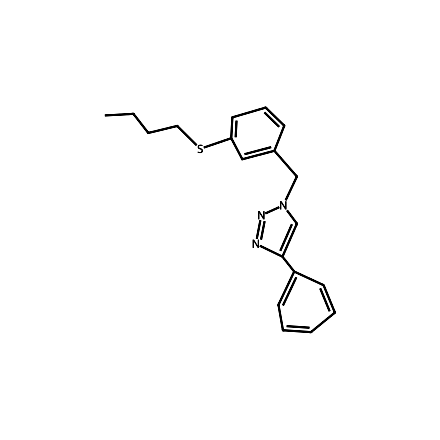 CCCCSc1cccc(Cn2cc(-c3ccccc3)nn2)c1